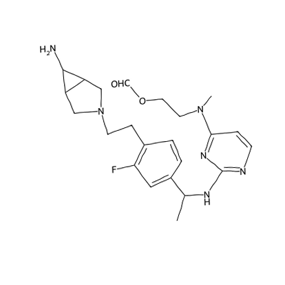 CC(Nc1nccc(N(C)CCOC=O)n1)c1ccc(CCN2CC3C(N)C3C2)c(F)c1